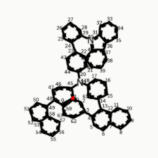 c1ccc(-c2ccc3ccccc3c2-c2cccc(N(c3ccc(-c4ccccc4-n4c5ccccc5c5ccccc54)cc3)c3ccc(-c4cccc5ccccc45)cc3)c2)cc1